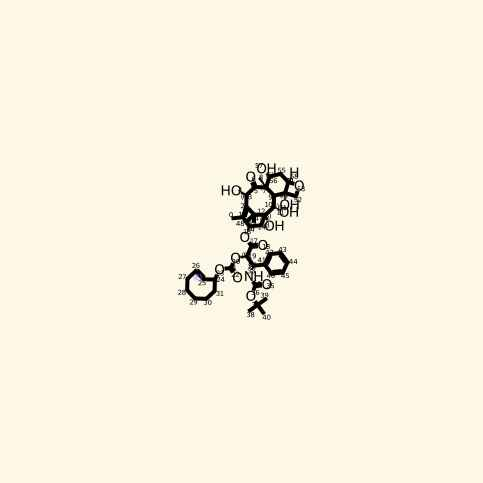 CC1=C2[C@@H](O)C(=O)[C@@]3(C)C([C@H](O)[C@](O)(C[C@@H]1OC(=O)[C@H](OC(=O)OC1/C=C/CCCCC1)[C@@H](NC(=O)OC(C)(C)C)c1ccccc1)C2(C)C)[C@]1(O)CO[C@@H]1C[C@@H]3O